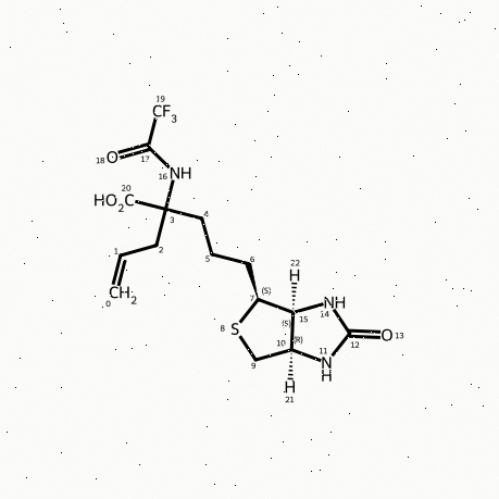 C=CCC(CCC[C@@H]1SC[C@@H]2NC(=O)N[C@@H]21)(NC(=O)C(F)(F)F)C(=O)O